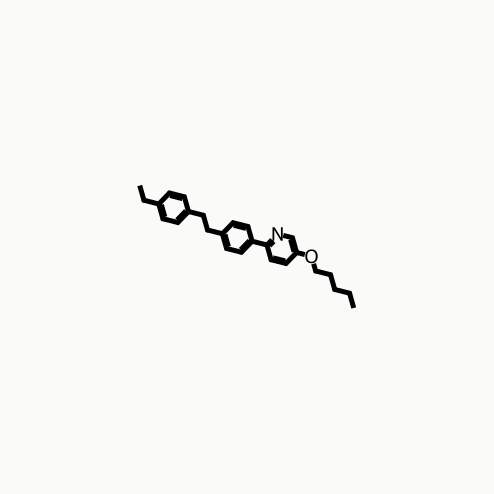 CCCCCOc1ccc(-c2ccc(CCc3ccc(CC)cc3)cc2)nc1